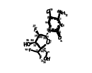 Nc1nc(=O)n([C@@H]2O[C@@](CO)(C(F)F)[C@@H](O)[C@H]2F)cc1Cl